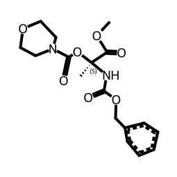 COC(=O)[C@@](C)(NC(=O)OCc1ccccc1)OC(=O)N1CCOCC1